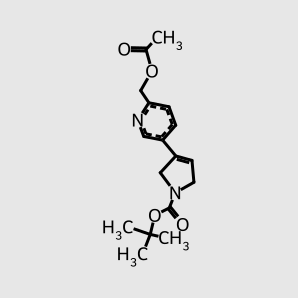 CC(=O)OCc1ccc(C2=CCN(C(=O)OC(C)(C)C)C2)cn1